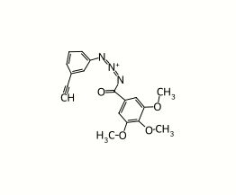 C#Cc1cccc(N=[N+]=NC(=O)c2cc(OC)c(OC)c(OC)c2)c1